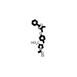 C=C(OCC)N1C[C@@H](Cc2ccc(OCc3nc(-c4ccccc4)oc3C)cc2)[C@H](C(=O)O)C1